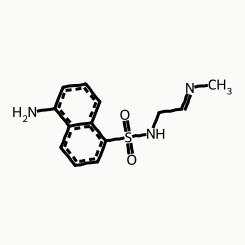 CN=CCNS(=O)(=O)c1cccc2c(N)cccc12